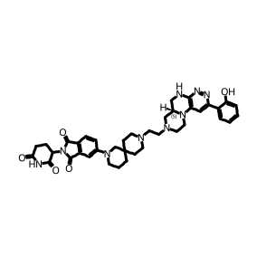 O=C1CCC(N2C(=O)c3ccc(N4CCCC5(CCN(CCN6CCN7c8cc(-c9ccccc9O)nnc8NC[C@H]7C6)CC5)C4)cc3C2=O)C(=O)N1